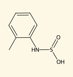 Cc1ccccc1NS(=O)O